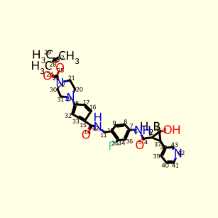 BC1(O)C(C(=O)Nc2ccc(CNC(=O)c3ccc(N4CCN(C(=O)OC(C)(C)C)CC4)cc3)c(F)c2)C1c1cccnc1